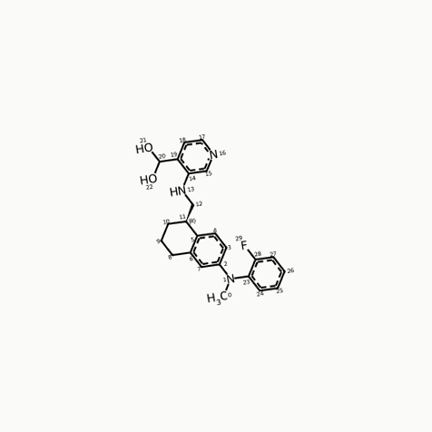 CN(c1ccc2c(c1)CCC[C@H]2CNc1cnccc1C(O)O)c1ccccc1F